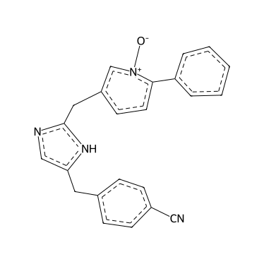 N#Cc1ccc(Cc2cnc(Cc3ccc(-c4ccccc4)[n+]([O-])c3)[nH]2)cc1